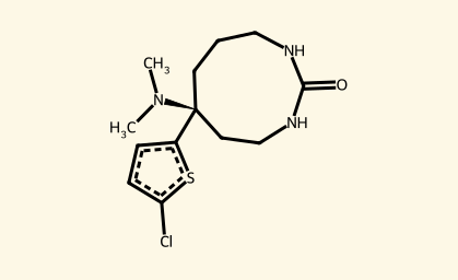 CN(C)[C@@]1(c2ccc(Cl)s2)CCCNC(=O)NCC1